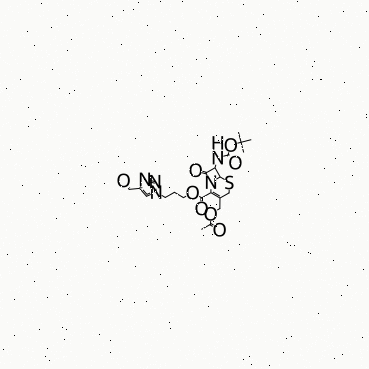 CC(=O)OCC1=C(C(=O)OCCCn2cc(C=O)nn2)N2C(=O)C(NC(=O)OC(C)(C)C)C2SC1